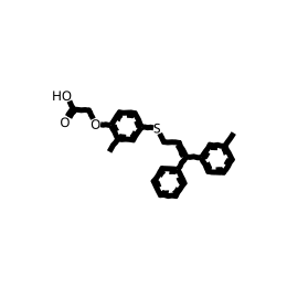 Cc1cccc(C(=CCSc2ccc(OCC(=O)O)c(C)c2)c2ccccc2)c1